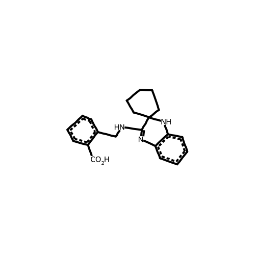 O=C(O)c1ccccc1CNC1=Nc2ccccc2NC12CCCCC2